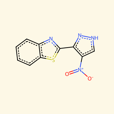 O=[N+]([O-])c1c[nH]nc1-c1nc2ccccc2s1